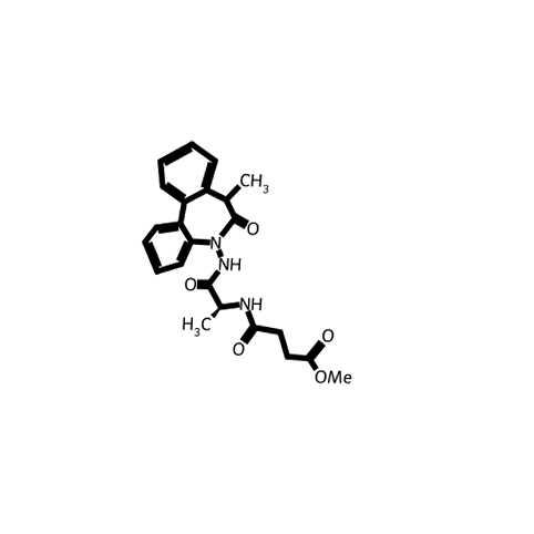 COC(=O)CCC(=O)N[C@@H](C)C(=O)NN1C(=O)C(C)c2ccccc2-c2ccccc21